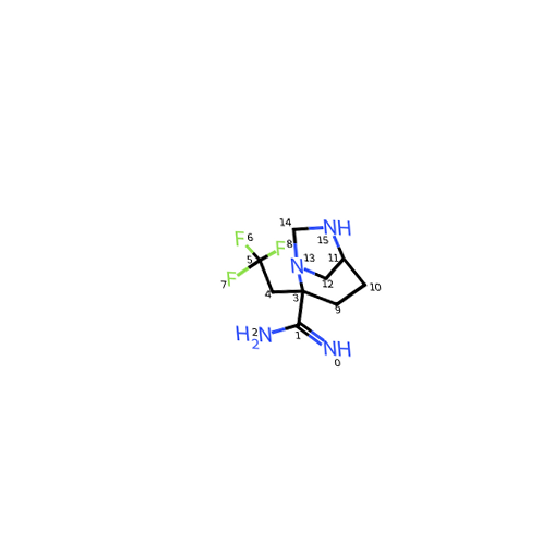 N=C(N)C1(CC(F)(F)F)CCC2CN1CN2